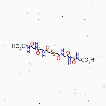 O=C(O)CNC(=O)CNC(=O)CNC(=O)CSSCC(=O)NCC(=O)NCC(=O)NCC(=O)O